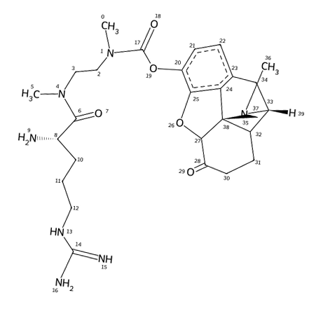 CN(CCN(C)C(=O)[C@@H](N)CCCNC(=N)N)C(=O)Oc1ccc2c3c1OC1C(=O)CCC4[C@@H](C2)N(C)C[C@]314